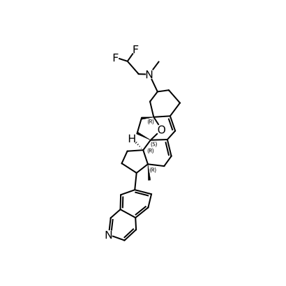 CN(CC(F)F)C1CCC2=CC3=CC[C@]4(C)C(c5ccc6ccncc6c5)CC[C@H]4[C@@]34CC[C@]2(C1)O4